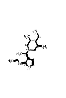 C=C/N=C1/NC=C/C1=C(/C)N(CCC)CC(C)CCC